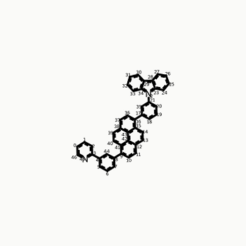 c1ccc(-c2cccc(-c3ccc4ccc5c(-c6cccc(-n7c8ccccc8c8ccccc87)c6)ccc6ccc3c4c65)c2)nc1